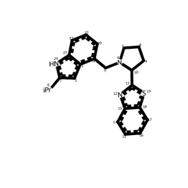 CC(C)c1cc2c(CN3CCCC3c3nc4ccccc4s3)cccc2[nH]1